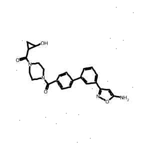 Nc1cc(-c2cccc(-c3ccc(C(=O)N4CCN(C(=O)C5CC5O)CC4)cc3)c2)no1